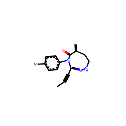 C=C1CCN/N=C(/C#CC)N(c2ccc(C(C)=O)cc2)C1=O